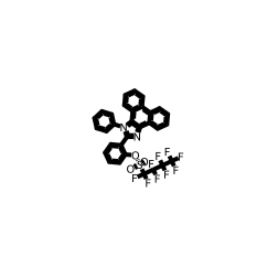 O=S(=O)(Oc1ccccc1-c1nc2c3ccccc3c3ccccc3c2n1-c1ccccc1)C(F)(F)C(F)(F)C(F)(F)C(F)(F)F